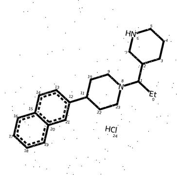 CCC(C1CCCNC1)N1CCC(c2ccc3ccccc3c2)CC1.Cl